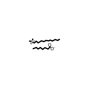 CCCCCCCC(=O)[O-].CCCCCCCCCCCC[N+](C)(C)C